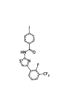 O=C(Nc1nc(-c2cccc(C(F)(F)F)c2F)cs1)c1ccc(I)cc1